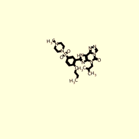 CCCOc1ccc(S(=O)(=O)N2CCN(C)CC2)cc1-c1nc2c([nH]1)c1nncn1c(=O)n2CC(C)C